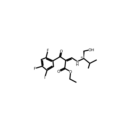 CCOC(=O)C(=CN[C@@H](CO)C(C)C)C(=O)c1cc(I)c(F)cc1F